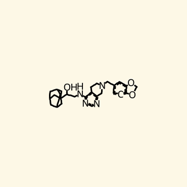 OC(CNc1ncnc2c1CCN(Cc1ccc3c(c1)OCO3)C2)C12CC3CC(CC(C3)C1)C2